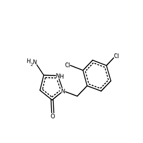 Nc1cc(=O)n(Cc2ccc(Cl)cc2Cl)[nH]1